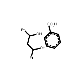 CCC(O)CC(O)CC.O=C(O)c1ccccc1